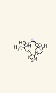 CC(O)CSc1nsnc1N1CCOCC1.O=C(O)/C=C\C(=O)O